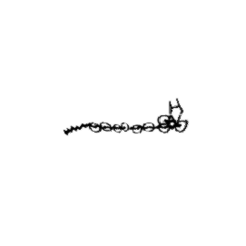 C=CCCCCCCCCCOCCOCCOCCOCCOCCOCCOC1=CC(=O)NC1=O